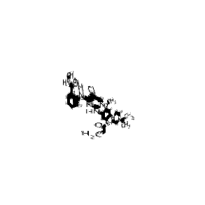 C=CC(=O)Nc1cc(Nc2ncc(Cl)c(Nc3ccccc3C(=O)NC)n2)c(OC)cc1N1CCN(C(C)C)CC1